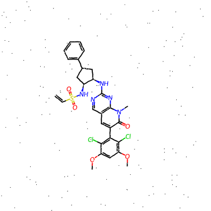 C=CS(=O)(=O)N[C@H]1CC(c2ccccc2)C[C@H]1Nc1ncc2cc(-c3c(Cl)c(OC)cc(OC)c3Cl)c(=O)n(C)c2n1